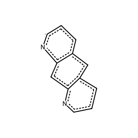 [c]1ccc2cc3cccnc3cc2n1